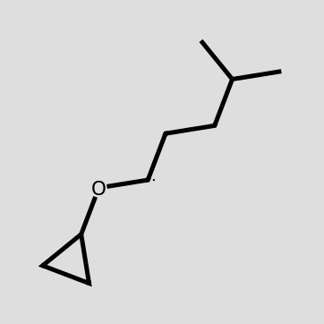 CC(C)CC[CH]OC1CC1